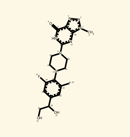 Cn1nnc2c(=O)[nH]c(N3CCN(c4c(F)cc(C(O)CO)cc4F)CC3)nc21